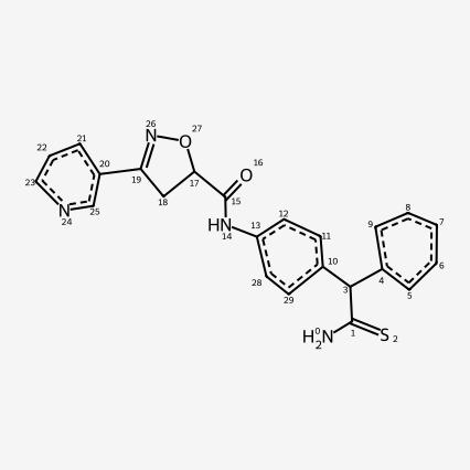 NC(=S)C(c1ccccc1)c1ccc(NC(=O)C2CC(c3cccnc3)=NO2)cc1